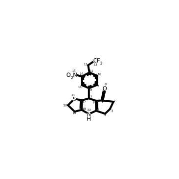 O=C1CCCC2=C1C(c1ccc(CC(F)(F)F)c([N+](=O)[O-])c1)C1=C(CCS1)N2